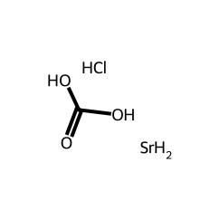 Cl.O=C(O)O.[SrH2]